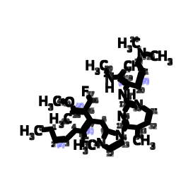 CC/C=C\C/C(F)=C(CC1N(C)C=CN1C1=NC(NC(/C=C\CN(C)C)=C(/C)NC)=NC=CC1C)\C(CF)=C(/C)OC